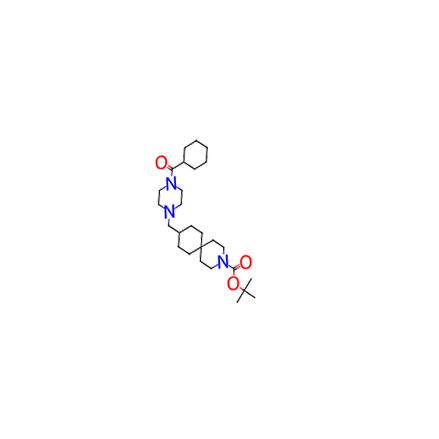 CC(C)(C)OC(=O)N1CCC2(CCC(CN3CCN(C(=O)C4CCCCC4)CC3)CC2)CC1